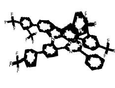 FC(F)(F)c1ccc(-c2ccc(-c3nc(-c4ccccc4)nc(-c4ccccc4)n3)c(-n3c4cc(-c5ccc(C(F)(F)F)cc5C(F)(F)F)ccc4c4ccc(-c5ccc(C(F)(F)F)cc5C(F)(F)F)cc43)c2)cc1